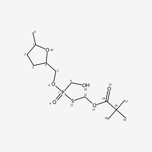 CC1CCC(COP(=O)(CO)SCOC(=O)C(C)(C)C)O1